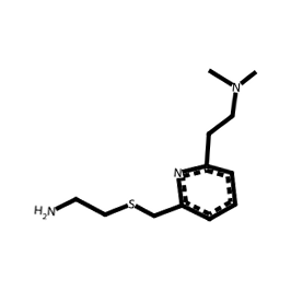 CN(C)CCc1cccc(CSCCN)n1